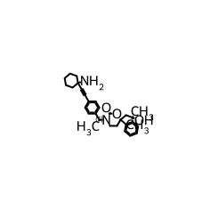 C[C@@H](c1ccc(C#CC2(N)CCCCC2)cc1)N1CCC(CC(C)(C)O)(c2ccccc2)OC1=O